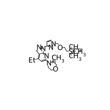 CCc1cc(N2CCOC[C@H]2C)nc2c1cnn2-c1ccn(COCC[Si](C)(C)C)n1